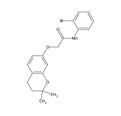 CC1(C)CCc2ccc(OCC(=O)Nc3ccccc3Br)cc2O1